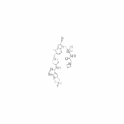 Cc1c(CN2CCC(Nc3ncnc4sc(CC(F)(F)F)cc34)CC2)ccc2c1cc(C#N)n2CC12CC(NC(=O)CN3CCC3)(C1)[C@H]2C